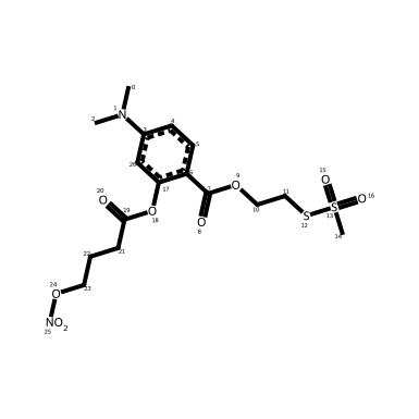 CN(C)c1ccc(C(=O)OCCSS(C)(=O)=O)c(OC(=O)CCCO[N+](=O)[O-])c1